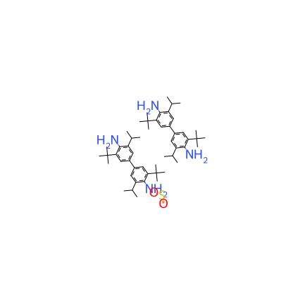 CC(C)c1cc(-c2cc(C(C)C)c(N)c(C(C)(C)C)c2)cc(C(C)(C)C)c1N.CC(C)c1cc(-c2cc(C(C)C)c(N)c(C(C)(C)C)c2)cc(C(C)(C)C)c1N.O=S=O